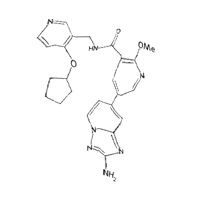 COc1ncc(-c2ccn3nc(N)nc3c2)cc1C(=O)NCc1cnccc1OC1CCCC1